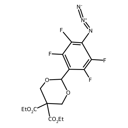 CCOC(=O)C1(C(=O)OCC)COC(c2c(F)c(F)c(N=[N+]=[N-])c(F)c2F)OC1